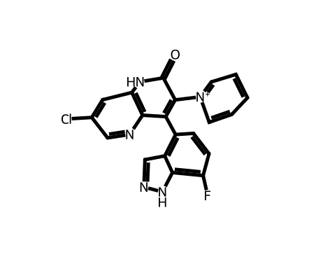 O=c1[nH]c2cc(Cl)cnc2c(-c2ccc(F)c3[nH]ncc23)c1-[n+]1ccccc1